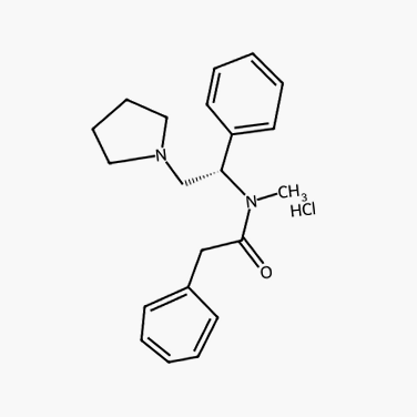 CN(C(=O)Cc1ccccc1)[C@H](CN1CCCC1)c1ccccc1.Cl